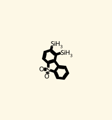 O=S1(=O)c2ccccc2-c2c1ccc([SiH3])c2[SiH3]